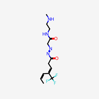 C/C=C\C(=C/CC(=O)N=NCC(=O)NCCNC)C(F)(F)F